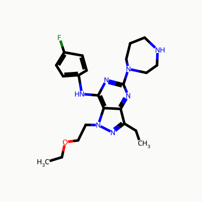 CCOCCn1nc(CC)c2nc(N3CCCNCC3)nc(Nc3ccc(F)cc3)c21